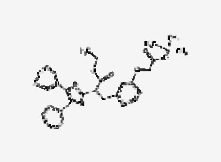 CCOC(=O)C(Cc1cccc(OCC(=O)OC(C)(C)C)c1)c1nc(-c2ccccc2)c(-c2ccccc2)o1